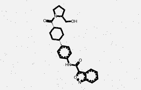 O=C(Nc1ccc([C@H]2CC[C@@H](C(=O)N3CCCC3CO)CC2)cc1)c1onc2ccccc12